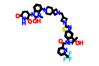 CN1c2c(N3CCC4(CC3)CN(CC3CN(c5nc6cc(C(C)(C)O)c(NC(=O)c7cccc(C(F)(F)F)n7)cc6s5)C3)C4)cccc2N(C2CCC(=O)NC2=O)C1O